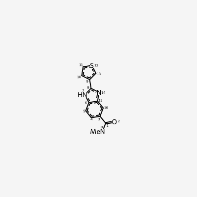 CNC(=O)c1ccc2[nH]c(-c3ccsc3)nc2c1